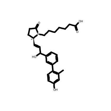 Cc1cc(O)ccc1-c1cccc(C(O)C=C[C@H]2CCC(=O)N2CCCCCCC(=O)O)c1